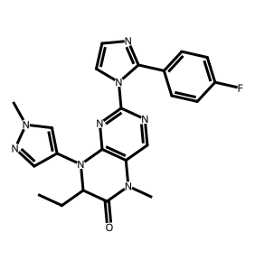 CCC1C(=O)N(C)c2cnc(-n3ccnc3-c3ccc(F)cc3)nc2N1c1cnn(C)c1